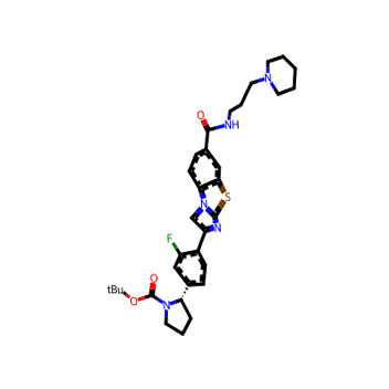 CC(C)(C)OC(=O)N1CCC[C@H]1c1ccc(-c2cn3c(n2)sc2cc(C(=O)NCCCN4CCCCC4)ccc23)c(F)c1